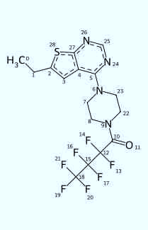 CCc1cc2c(N3CCN(C(=O)C(F)(F)C(F)(F)C(F)(F)F)CC3)ncnc2s1